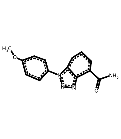 COc1ccc(-n2nnc3c(C(N)=O)cccc32)cc1